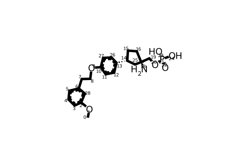 COc1cccc(CCOc2ccc([C@@H]3CC[C@](N)(COP(=O)(O)O)C3)cc2)c1